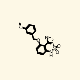 COc1cccc(COc2cccc3c2C(N)=NS(=O)(=O)N3)c1